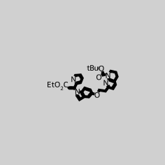 CCOC(=O)/C=C(\c1ccccn1)n1ccc2cc(OCCc3ccc4c(n3)N(C(=O)OC(C)(C)C)CCC4)ccc21